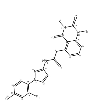 Cn1c(=O)c2c(CC(=O)Nc3ccn(-c4ccc(Cl)cc4F)n3)cccc2n(C)c1=O